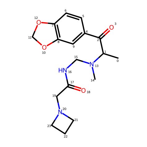 CC(C(=O)c1ccc2c(c1)OCO2)N(C)CNC(=O)CN1CCC1